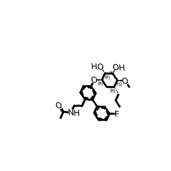 CCC[C@@H]1C[C@@H](Oc2ccc(CCNC(C)=O)c(-c3cccc(F)c3)c2)[C@H](O)[C@H](O)[C@H]1OC